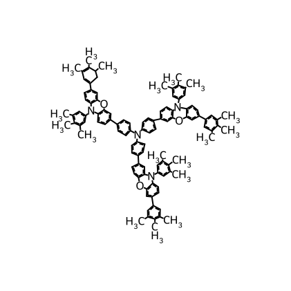 CC1=C(C)C(C)CC(c2ccc3c(c2)Oc2cc(-c4ccc(N(c5ccc(-c6ccc7c(c6)Oc6cc(-c8cc(C)c(C)c(C)c8)ccc6N7c6cc(C)c(C)c(C)c6)cc5)c5ccc(-c6ccc7c(c6)N(c6cc(C)c(C)c(C)c6)c6ccc(-c8cc(C)c(C)c(C)c8)cc6O7)cc5)cc4)ccc2N3c2cc(C)c(C)c(C)c2)=C1